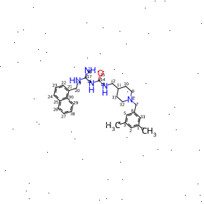 Cc1cc(C)cc(CN2CCC(CNC(=O)NC(=N)NCc3cccc4ccccc34)CC2)c1